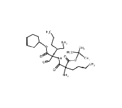 CCCCC(N)(C(=O)NC(C=O)(C(=O)OC1CCCCC1)C(CN)CCC)C(=O)OC(C)(C)C